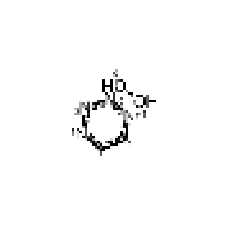 OO.c1cnnnn1